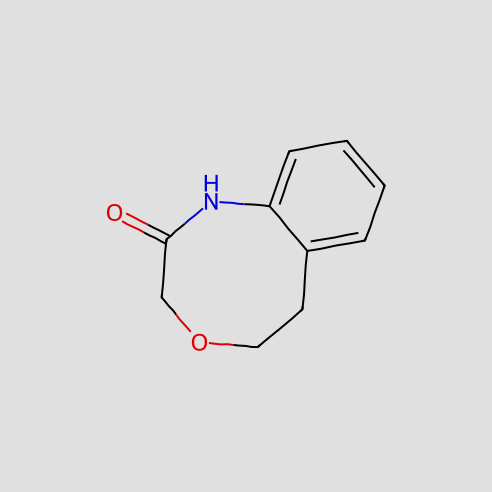 O=C1COCCc2ccccc2N1